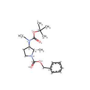 C[C@H]1[C@H](N(C)C(=O)OC(C)(C)C)CCN1C(=O)OCc1ccccc1